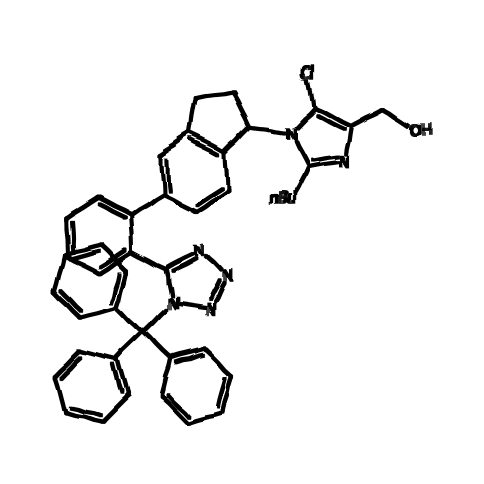 CCCCc1nc(CO)c(Cl)n1C1CCc2cc(-c3ccccc3-c3nnnn3C(c3ccccc3)(c3ccccc3)c3ccccc3)ccc21